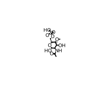 CO[C@H]1C(O)C(NC(C)=O)C(O)O[C@H]1COS(=O)(=O)O